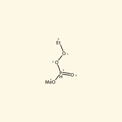 CCOO[PH](=O)OC